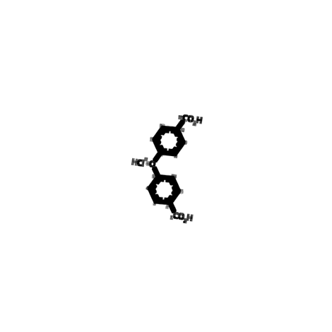 Cl.O=C(O)c1ccc(Oc2ccc(C(=O)O)cc2)cc1